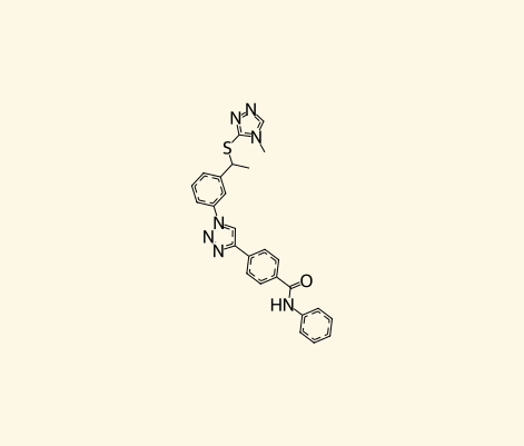 CC(Sc1nncn1C)c1cccc(-n2cc(-c3ccc(C(=O)Nc4ccccc4)cc3)nn2)c1